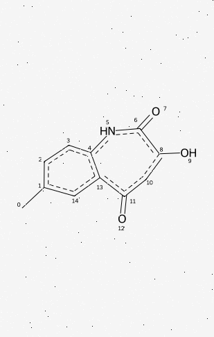 Cc1ccc2[nH]c(=O)c(O)cc(=O)c2c1